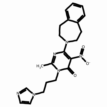 Cc1nc(N2CCc3ccccc3CC2)c([N+](=O)[O-])c(=O)n1CCCn1ccnc1